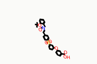 CC(C)(C)OC(=O)N(CCc1ccc(S(=O)(=O)c2cccc(Oc3cccc(C(=O)O)c3)c2)cc1)Cc1ccccc1